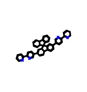 C1=CC2c3ccccc3C3(c4cc(-c5ccc(C6=NCCC=C6)nc5)ccc4C4C=CC(c5ccc(-c6ccccn6)nc5)=CC43)C2C=C1